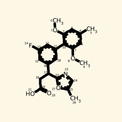 COc1cc(C)cc(OC)c1-c1cc(F)cc(C(CC(=O)O)c2ncc(C)o2)c1